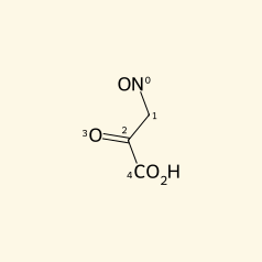 O=NCC(=O)C(=O)O